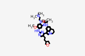 C=CC(=O)Nc1cc(Nc2ncc(CCC3CCOC3)c(-c3cn4c5c(cccc35)CCC4)n2)c(OC)cc1N(C)CCN(C)C